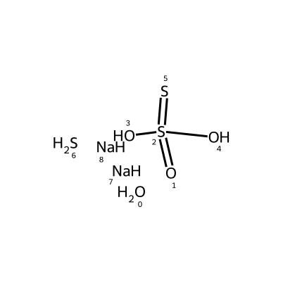 O.O=S(O)(O)=S.S.[NaH].[NaH]